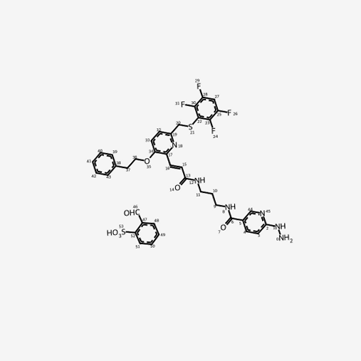 NNc1ccc(C(=O)NCCCNC(=O)C=Cc2nc(CSc3c(F)c(F)cc(F)c3F)ccc2OCCc2ccccc2)cn1.O=Cc1ccccc1S(=O)(=O)O